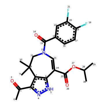 CC(=O)c1n[nH]c2c1C(C)(C)CN(C(=O)c1ccc(F)c(F)c1)C=C2C(=O)OC(C)C